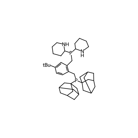 CC(C)(C)c1ccc(CP(C23CC4CC(CC(C4)C2)C3)C23CC4CC(CC(C4)C2)C3)c(CP(C2CCCCN2)C2CCCCN2)c1